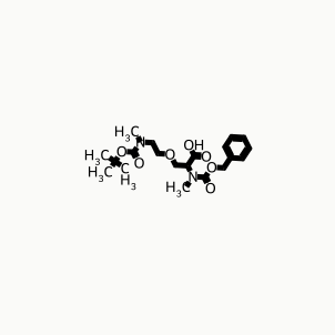 CN(CCOCC(C(=O)O)N(C)C(=O)OCc1ccccc1)C(=O)OC(C)(C)C